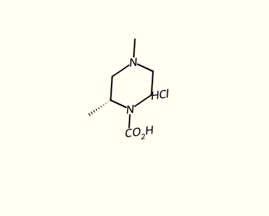 C[C@@H]1CN(C)CCN1C(=O)O.Cl